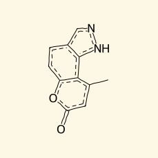 Cc1cc(=O)oc2ccc3cn[nH]c3c12